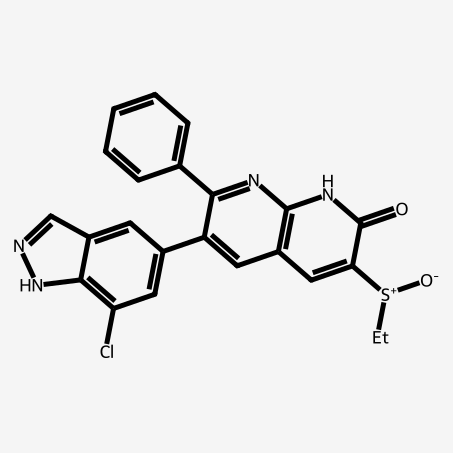 CC[S+]([O-])c1cc2cc(-c3cc(Cl)c4[nH]ncc4c3)c(-c3ccccc3)nc2[nH]c1=O